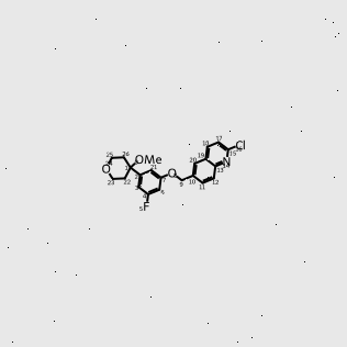 COC1(c2cc(F)cc(OCc3ccc4nc(Cl)ccc4c3)c2)CCOCC1